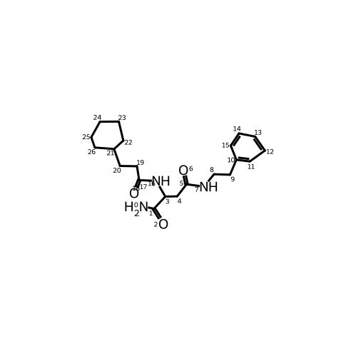 NC(=O)C(CC(=O)NCCc1ccccc1)NC(=O)CCC1CCCCC1